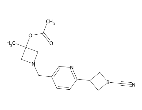 CC(=O)OC1(C)CN(Cc2ccc(C3CB(C#N)C3)nc2)C1